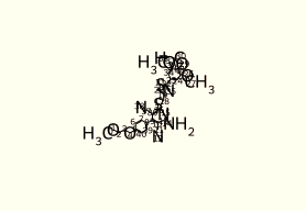 COCCOc1ccc(-c2c(C#N)c(N)nc(SCc3csc(-c4cc(OC)c(OC)c(OC)c4)n3)c2C#N)cc1